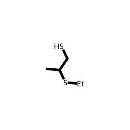 [CH2]CSC(C)CS